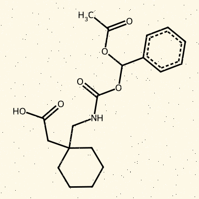 CC(=O)OC(OC(=O)NCC1(CC(=O)O)CCCCC1)c1ccccc1